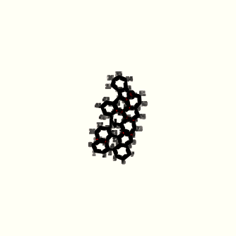 c1ccc(-c2cccc3cccc(-c4ccccc4N(c4ccccc4-c4ccc5c(c4)oc4ccccc45)c4ccccc4-c4cccc5ccccc45)c23)cc1